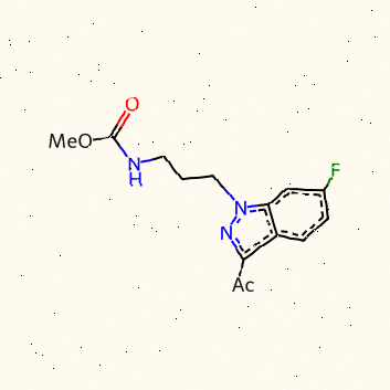 COC(=O)NCCCn1nc(C(C)=O)c2ccc(F)cc21